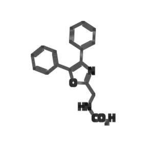 O=C(O)NCc1nc(-c2ccccc2)c(-c2ccccc2)o1